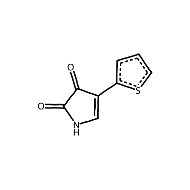 O=C1NC=C(c2cccs2)C1=O